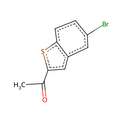 CC(=O)c1cc2cc(Br)ccc2s1